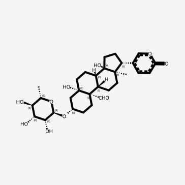 C[C@@H]1O[C@@H](O[C@H]2CC[C@]3(C=O)[C@H]4CC[C@]5(C)[C@@H](c6ccc(=O)oc6)CC[C@]5(O)[C@@H]4CC[C@]3(O)C2)[C@H](O)[C@H](O)[C@H]1O